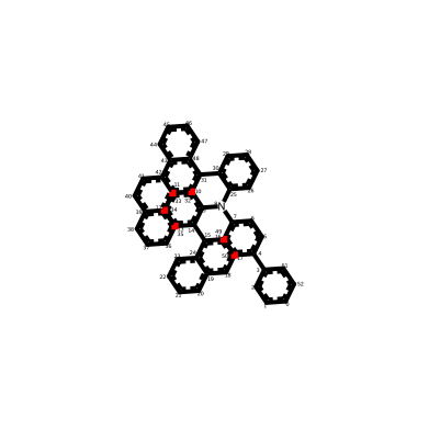 c1ccc(-c2ccc(N(c3ccccc3-c3cccc4ccccc34)c3ccccc3-c3cc4c5ccccc5ccc4c4ccccc34)cc2)cc1